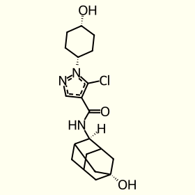 O=C(N[C@H]1C2CC3CC1C[C@](O)(C3)C2)c1cnn([C@H]2CC[C@@H](O)CC2)c1Cl